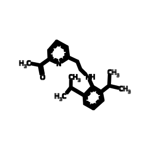 CC(=O)c1cccc(CCNc2c(C(C)C)cccc2C(C)C)n1